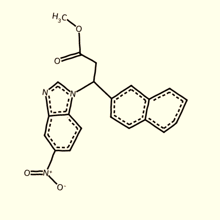 COC(=O)CC(c1ccc2ccccc2c1)n1cnc2cc([N+](=O)[O-])ccc21